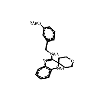 COc1cccc(CNC2=Nc3ccccc3NC23CCOCC3)c1